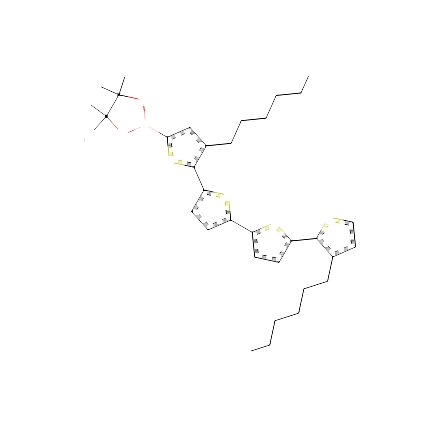 CCCCCCc1ccsc1-c1ccc(-c2ccc(-c3sc(B4OC(C)(C)C(C)(C)O4)cc3CCCCCC)s2)s1